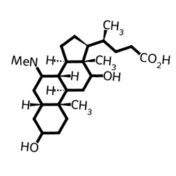 CNC1C[C@H]2CC(O)CC[C@@]2(C)[C@@H]2CC(O)[C@]3(C)[C@H](CC[C@H]3[C@@H](C)CCC(=O)O)[C@@H]12